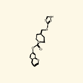 O=C(Oc1ccc2cccnc2c1)N1CCC(CSc2nc[nH]n2)CC1